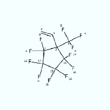 C=CC1(C(F)(F)F)C(F)(F)C(F)(F)C(F)(F)C1(F)F